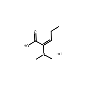 CC/C=C(\C(=O)O)N(C)C.Cl